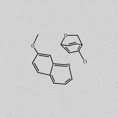 COc1ccc2cccnc2c1.Clc1cc2ccc1CO2